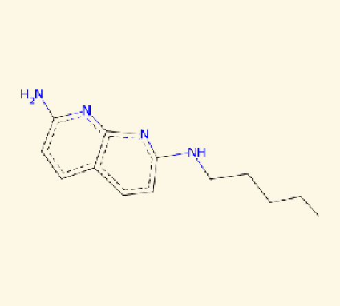 CCCCCNc1ccc2ccc(N)nc2n1